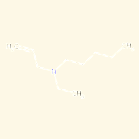 C=CCN(CC)CCCCC